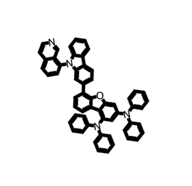 c1ccc(N(c2ccccc2)c2cc(N(c3ccccc3)c3ccccc3)c3c(c2)oc2c(-c4ccc5c6ccccc6n(-c6cccc7ccncc67)c5c4)cccc23)cc1